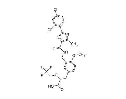 COc1ccc(CC(OCC(F)(F)F)C(=O)O)cc1CNC(=O)c1sc(-c2ccc(Cl)cc2Cl)nc1C